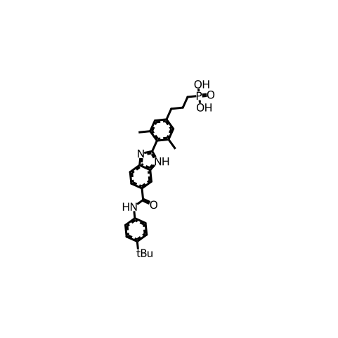 Cc1cc(CCCP(=O)(O)O)cc(C)c1-c1nc2ccc(C(=O)Nc3ccc(C(C)(C)C)cc3)cc2[nH]1